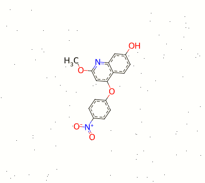 COc1cc(Oc2ccc([N+](=O)[O-])cc2)c2ccc(O)cc2n1